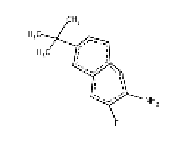 CC(C)(C)c1ccc2nc(N)c(F)cc2c1